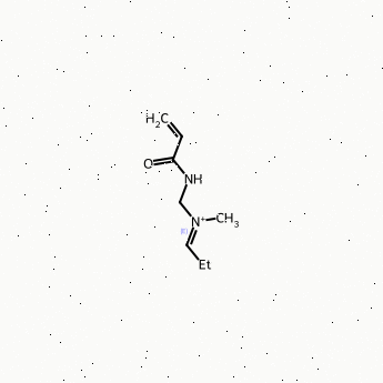 C=CC(=O)NC/[N+](C)=C/CC